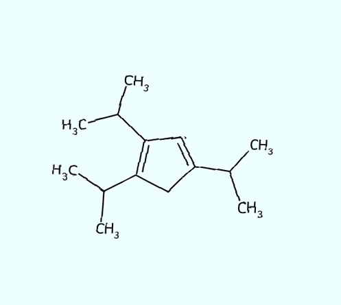 CC(C)C1=[C]C(C(C)C)=C(C(C)C)C1